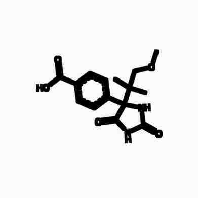 COCC(C)(C)C1(c2ccc(C(=O)O)cc2)NC(=O)NC1=O